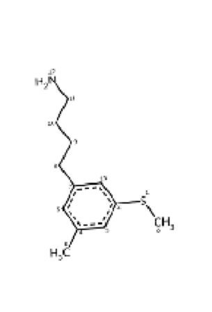 CSc1cc(C)cc(CCCCN)c1